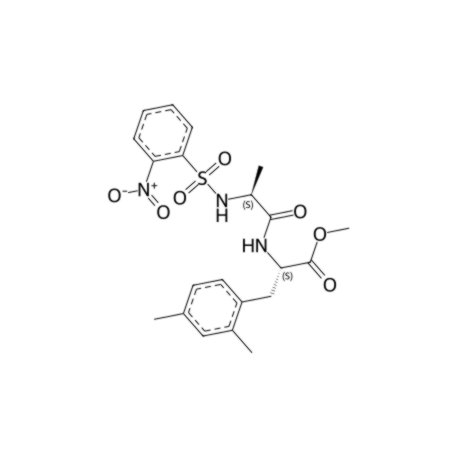 COC(=O)[C@H](Cc1ccc(C)cc1C)NC(=O)[C@H](C)NS(=O)(=O)c1ccccc1[N+](=O)[O-]